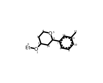 CCOC1CCOC(c2cccc(C)c2)C1